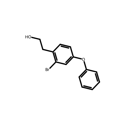 OCCc1ccc(Oc2ccccc2)cc1Br